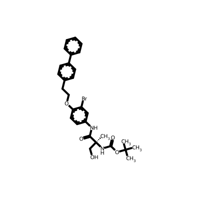 CC(C)(C)OC(=O)N[C@@](C)(CO)C(=O)Nc1ccc(OCCc2ccc(-c3ccccc3)cc2)c(Br)c1